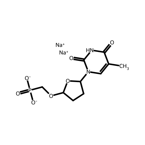 Cc1cn(C2CCC(OCP(=O)([O-])[O-])O2)c(=O)[nH]c1=O.[Na+].[Na+]